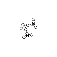 O=c1c2ccccc2c2cc(-c3cc(-c4ccccc4)nc(-c4ccccc4)c3)cc3c4cc(C5C=C(c6ccccc6)N=C(C6=CC=CCC6)C5)ccc4n1c23